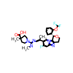 C=N/C(=N\C=C(/C)c1cn2c3c(nc2cc1F)CCO[C@H]3c1ccccc1OC(F)F)N1CCC(C)(C(=O)O)CC1